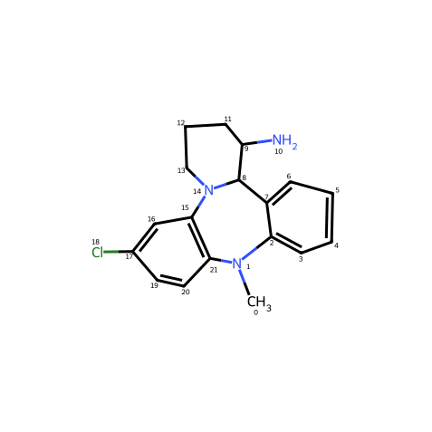 CN1c2ccccc2C2C(N)CCCN2c2cc(Cl)ccc21